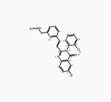 CCNCc1cccc(C=Cc2nc3ccc(F)cc3c(=O)n2-c2ccccc2Cl)n1